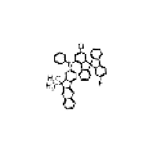 CC1(C)c2cc(N(c3ccccc3)c3cc(Cl)cc4c3-c3ccccc3C43c4ccccc4-c4ccc(F)cc43)ccc2-c2cc3ccccc3cc21